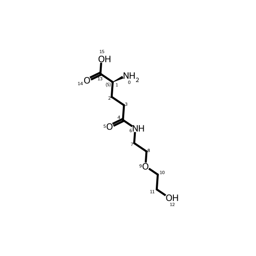 N[C@@H](CCC(=O)NCCOCCO)C(=O)O